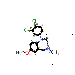 COc1ccc2c(c1)CN(C)CCN2c1ccc(Cl)c(Cl)c1